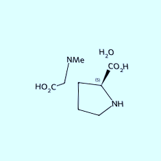 CNCC(=O)O.O.O=C(O)[C@@H]1CCCN1